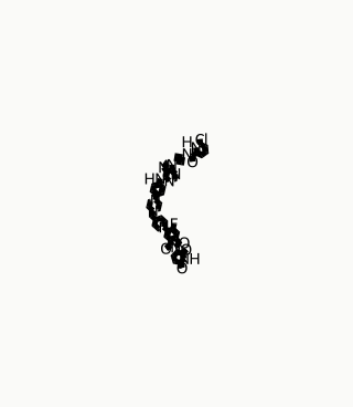 O=C1CC[C@H](N2C(=O)c3cc(F)c(N4CCC(CN5CCN(c6ccc(Nc7ncnc8c7ncn8C7CC(NC(=O)c8cccc(Cl)n8)C7)cc6)CC5)CC4)cc3C2=O)C(=O)N1